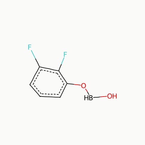 OBOc1cccc(F)c1F